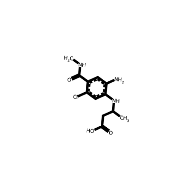 CNC(=O)c1cc(N)c(NC(C)CC(=O)O)cc1Cl